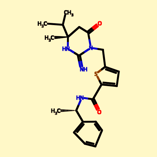 CC(C)[C@]1(C)CC(=O)N(Cc2ccc(C(=O)N[C@@H](C)c3ccccc3)s2)C(=N)N1